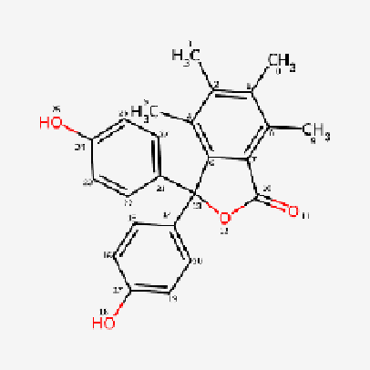 Cc1c(C)c(C)c2c(c1C)C(=O)OC2(c1ccc(O)cc1)c1ccc(O)cc1